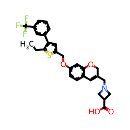 CCc1sc(COc2ccc3c(c2)OCC(CN2CC(C(=O)O)C2)=C3)cc1-c1cccc(C(F)(F)F)c1